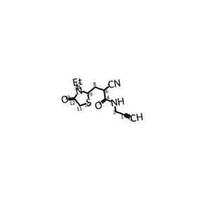 C#CCNC(=O)C(C#N)CC1SCC(=O)N1CC